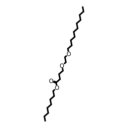 CCCCCCCCCCCOCCOCCCC(=O)OCCCCCCCC